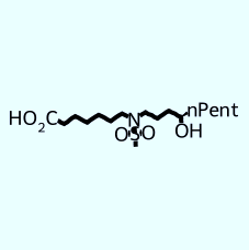 CCCCC[C@@H](O)CCCN(CCCCCCC(=O)O)S(C)(=O)=O